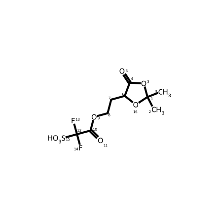 CC1(C)OC(=O)C(CCOC(=O)C(F)(F)S(=O)(=O)O)O1